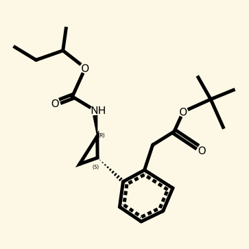 CCC(C)OC(=O)N[C@@H]1C[C@H]1c1ccccc1CC(=O)OC(C)(C)C